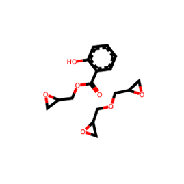 C(OCC1CO1)C1CO1.O=C(OCC1CO1)c1ccccc1O